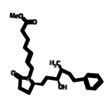 COC(=O)CCCC=CCN1C(=O)CC[C@@H]1CC[C@@H](O)[C@@H](C)CCc1ccccc1